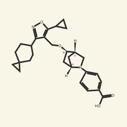 O=C(O)c1ccc(N2C[C@@H]3C[C@H]2C[C@H]3OCc2c(C3CCC4(CC3)CC4)noc2C2CC2)cc1